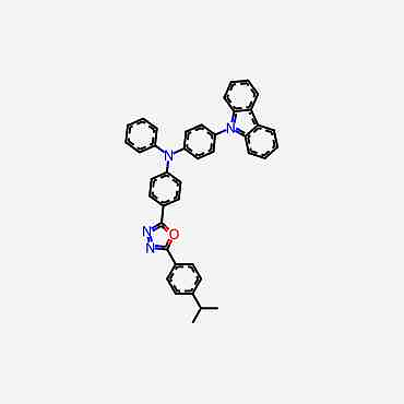 CC(C)c1ccc(-c2nnc(-c3ccc(N(c4ccccc4)c4ccc(-n5c6ccccc6c6ccccc65)cc4)cc3)o2)cc1